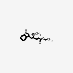 CCOC(=O)C=CC(Cc1c[nH]c2ccccc12)NC